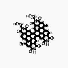 CCCCCCCCCCCn1c(=O)c2ccc3c4c(Br)cc5c(=O)[nH]c(=O)c6cc7c8c9cc%10c(=O)[nH]c(=O)c%11ccc%12c%13c(Br)cc%14c(=O)n(CCCCCCCCCCC)c(=O)c%15cc(c8c8cc(c1=O)c2c3c8c7c4c56)c(c9c%12c%11%10)c%13c%14%15